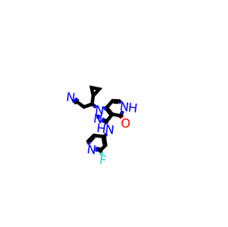 N#CCC(C1CC1)n1nc(Nc2ccnc(F)c2)c2c(=O)[nH]ccc21